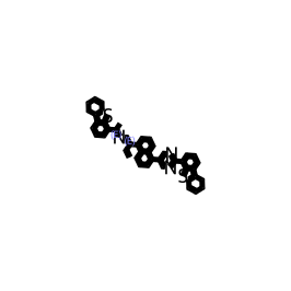 C=C/C(=C\N=C(/C)c1cccc2c3c(sc12)C=CCC3)c1cccc2c(-c3cnc(-c4cccc5c6c(sc45)C=CCC6)nc3)cccc12